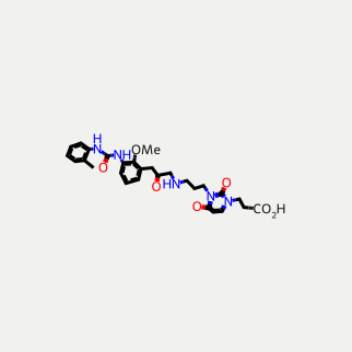 COc1c(CC(=O)CNCCCn2c(=O)ccn(CCC(=O)O)c2=O)cccc1NC(=O)Nc1ccccc1C